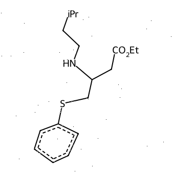 CCOC(=O)CC(CSc1ccccc1)NCCC(C)C